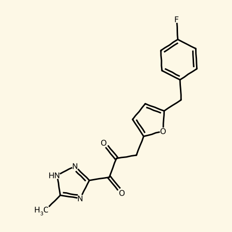 Cc1nc(C(=O)C(=O)Cc2ccc(Cc3ccc(F)cc3)o2)n[nH]1